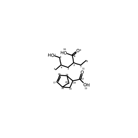 CCC(CC(C)CO)C(=O)O.O=C(O)C1CC2C=CC1C2